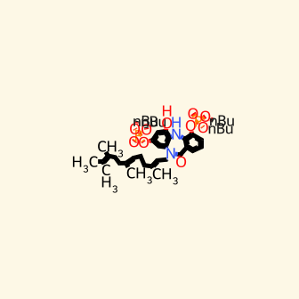 CCCCOP(=O)(OCCCC)Oc1cc(O)c2c(c1)N(C/C=C(\C)CC/C=C(\C)CCC(C)=C(C)C)C(=O)c1cccc(OP(=O)(OCCCC)OCCCC)c1N2